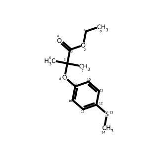 CCOC(=O)C(C)(C)Oc1ccc(SC)cc1